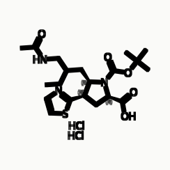 CCC(CNC(C)=O)C[C@@H]1[C@H](c2nccs2)C[C@H](C(=O)O)N1C(=O)OC(C)(C)C.Cl.Cl